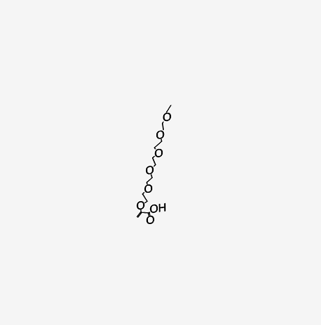 C=C(OCCOCCOCCOCCOCCOCC)C(=O)O